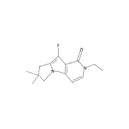 CCn1ccc2c(c(F)c3n2CC(C)(C)C3)c1=O